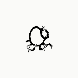 CC1CCCCc2cc(ccn2)-c2c(cnn2CF)N(CF)C1=O